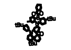 Cc1cc2c3c(c1)N(c1cc(N(c4ccc(C(C)(C)C)cc4)c4ccc(C(C)(C)C)cc4)c4c(c1)oc1ccccc14)c1ccc(C(C)(C)C)cc1B3c1oc3ccccc3c1O2